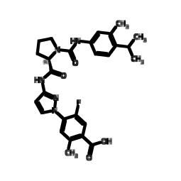 Cc1cc(-n2ccc(NC(=O)[C@H]3CCCN3C(=O)Nc3ccc(C(C)C)c(C)c3)n2)c(F)cc1C(=O)O